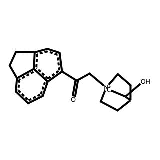 O=C(C[N+]12CCC(CC1)C(O)C2)c1ccc2c3c(cccc13)CC2